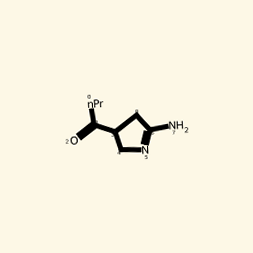 CCCC(=O)C1CN=C(N)C1